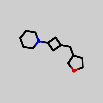 C1CCN(C2CC(CC3CCOC3)C2)CC1